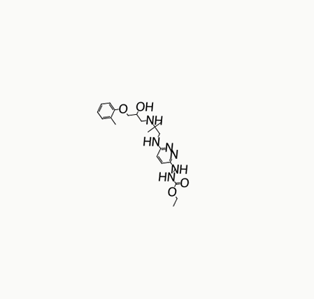 CCOC(=O)NNc1ccc(NCC(C)(C)NCC(O)COc2ccccc2C)nn1